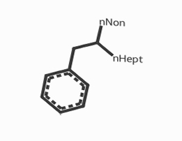 CCCCCCCCCC(CCCCCCC)Cc1cc[c]cc1